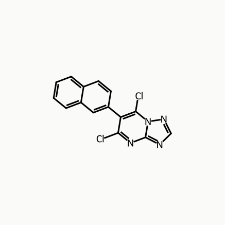 Clc1nc2ncnn2c(Cl)c1-c1ccc2ccccc2c1